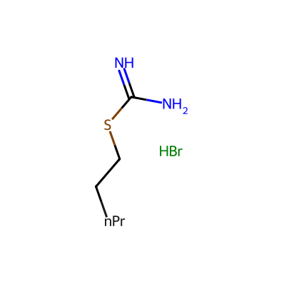 Br.CCCCCSC(=N)N